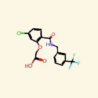 O=C(O)COc1cc(Cl)ccc1C(=O)NCc1cccc(C(F)(F)F)c1